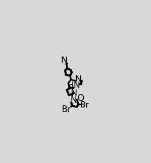 N#Cc1ccc(C(Cc2ccc(-n3cc(Br)cc(Br)c3=O)nc2)c2ncc[nH]2)cc1